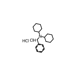 Cl.Cl.c1ccc(CN(C2CCCCC2)C2CCCCC2)cc1